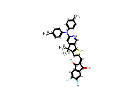 Cc1ccc(N(c2ccc(C)cc2)c2cc3c(cn2)-c2sc(C=C4C(=O)c5cc(F)c(F)cc5C4=O)cc2C3(C)C)cc1